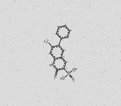 O=c1[nH]c2cc(C(F)(F)F)c(-c3ccccc3)cc2cc1P(=O)(O)O